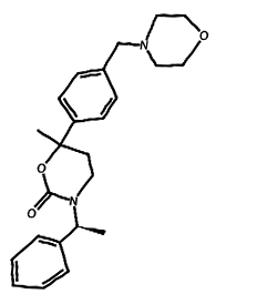 C[C@@H](c1ccccc1)N1CCC(C)(c2ccc(CN3CCOCC3)cc2)OC1=O